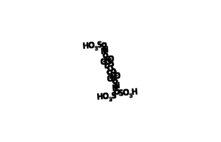 O=C1c2ccc3c4ccc5c6c(ccc(c7ccc(c2c37)C(=O)N1c1ccc(N=Nc2cccc(S(=O)(=O)O)c2)cc1)c64)C(=O)N(c1ccc(N=Nc2cc(S(=O)(=O)O)cc(S(=O)(=O)O)c2)cc1)C5=O